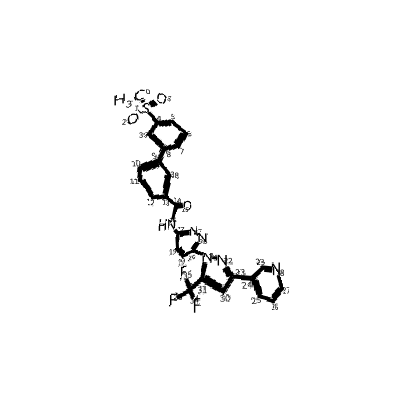 CS(=O)(=O)c1cccc(-c2cccc(C(=O)Nc3ccc(-n4nc(-c5cccnc5)cc4C(F)(F)F)nn3)c2)c1